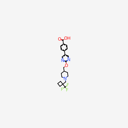 O=C(O)c1ccc(-c2cnc(OCC3CCN(CC4(C(F)(F)F)CCC4)CC3)nc2)cc1